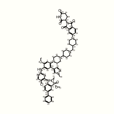 COc1cc(N2CCN(C3CCN(CC4CCN(c5ccc6c(c5)C(=O)N(C5CCC(=O)NC5=O)C6=O)CC4)CC3)CC2)c(-c2cnn(C)c2)cc1Nc1ncc(Cl)c(Nc2ccc(-c3ccccc3)cc2P(=O)(OC)OC)n1